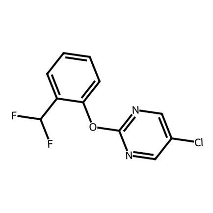 FC(F)c1ccccc1Oc1ncc(Cl)cn1